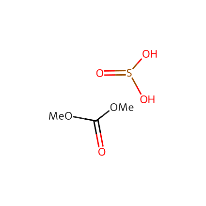 COC(=O)OC.O=S(O)O